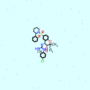 CC1(C)Oc2ccc(S(=O)(=O)N3CCCCC3c3ccccc3)cc2[C@@H](N=C(NC#N)Nc2ccc(Cl)cc2)[C@@H]1O